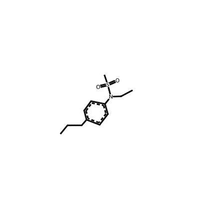 CCCc1ccc(N(CC)S(C)(=O)=O)cc1